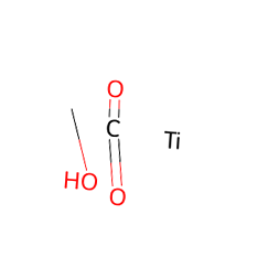 CO.O=C=O.[Ti]